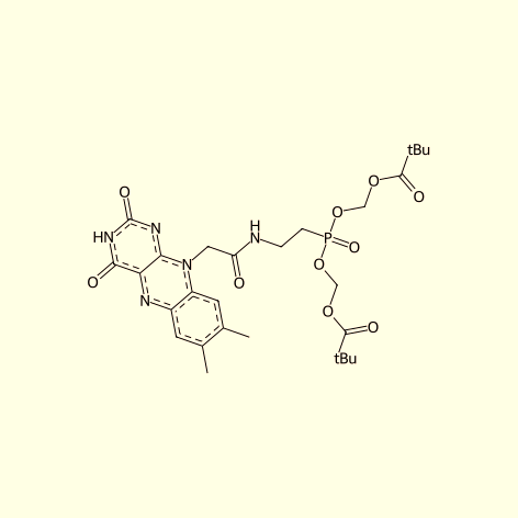 Cc1cc2nc3c(=O)[nH]c(=O)nc-3n(CC(=O)NCCP(=O)(OCOC(=O)C(C)(C)C)OCOC(=O)C(C)(C)C)c2cc1C